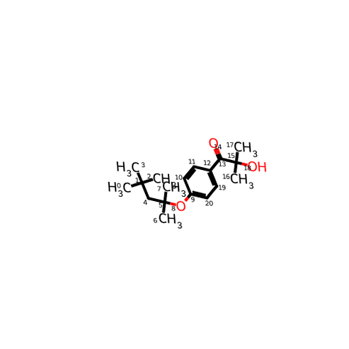 CC(C)(C)CC(C)(C)Oc1ccc(C(=O)C(C)(C)O)cc1